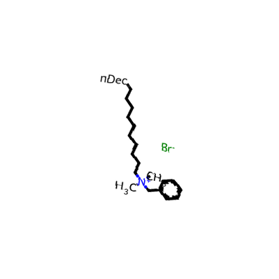 CCCCCCCCCCCCCCCCCCCC[N+](C)(C)Cc1ccccc1.[Br-]